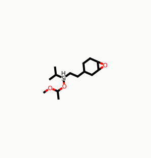 COC(C)O[SiH](CCC1CCC2OC2C1)C(C)C